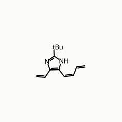 C=C/C=C\c1[nH]c(C(C)(C)C)nc1C=C